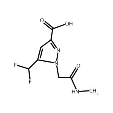 CNC(=O)Cn1nc(C(=O)O)cc1C(F)F